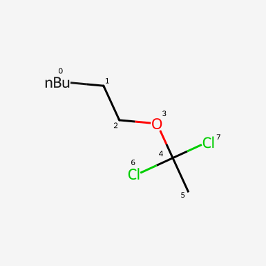 CCCCCCOC(C)(Cl)Cl